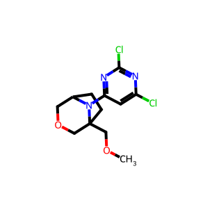 COCC12CCC(COC1)N2c1cc(Cl)nc(Cl)n1